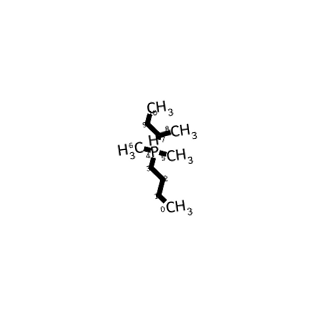 CCCC[PH](C)(C)C(C)CC